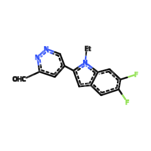 CCn1c(-c2cnnc(C=O)c2)cc2cc(F)c(F)cc21